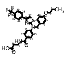 CCCOc1ccc(CN(c2ccc(C(=O)NCCC(=O)O)cc2)c2nc(-c3ccc(C(F)(F)F)cc3)cs2)cc1